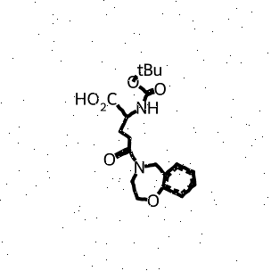 CC(C)(C)OC(=O)NC(CCC(=O)N1CCOc2ccccc2C1)C(=O)O